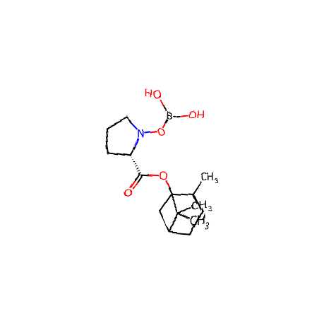 CC1CCC2CC1(OC(=O)[C@@H]1CCCN1OB(O)O)C2(C)C